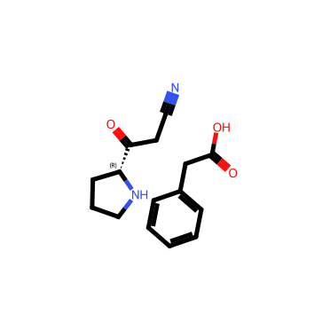 N#CCC(=O)[C@H]1CCCN1.O=C(O)Cc1ccccc1